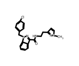 Cn1ccc(CCNC(=O)c2nn(Cc3ccc(Cl)cc3)c3ccccc23)n1